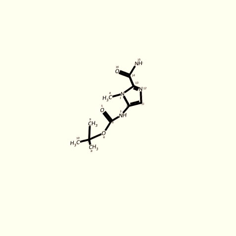 Cn1c(NC(=O)OC(C)(C)C)cnc1C([NH])=O